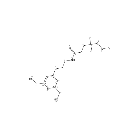 CSSC(C)(C)CCC(=O)NCCOc1cc(CO)nc(CO)c1